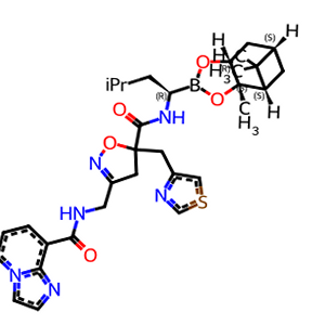 CC(C)C[C@H](NC(=O)C1(Cc2cscn2)CC(CNC(=O)c2cccn3ccnc23)=NO1)B1O[C@@H]2C[C@@H]3C[C@@H](C3(C)C)[C@]2(C)O1